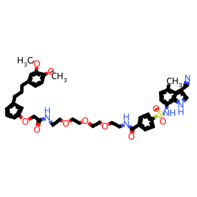 COc1ccc(CC[CH]c2cccc(OCC(=O)NCCOCCOCCOCCNC(=O)c3ccc(S(=O)(=O)Nc4ccc(C)c5c(C#N)c[nH]c45)cc3)c2)cc1OC